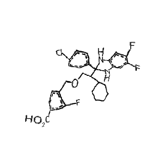 O=C(O)c1ccc(COCC(C2CCCCC2)C2(c3ccc(Cl)cc3)Nc3cc(F)c(F)cc3N2)c(F)c1